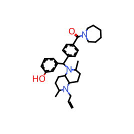 C=CCN1C(C)CCC2C1CCC(C)N2C(c1ccc(C(=O)N2CCCCCC2)cc1)c1cccc(O)c1